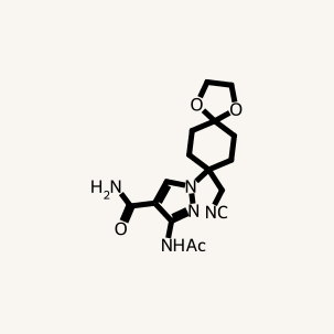 CC(=O)Nc1nn(C2(CC#N)CCC3(CC2)OCCO3)cc1C(N)=O